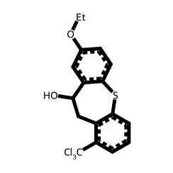 CCOc1ccc2c(c1)C(O)Cc1c(cccc1C(Cl)(Cl)Cl)S2